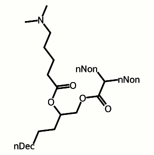 CCCCCCCCCCCCC(COC(=O)C(CCCCCCCCC)CCCCCCCCC)OC(=O)CCCCN(C)C